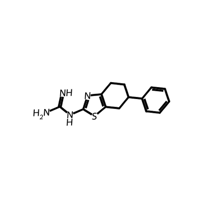 N=C(N)Nc1nc2c(s1)CC(c1ccccc1)CC2